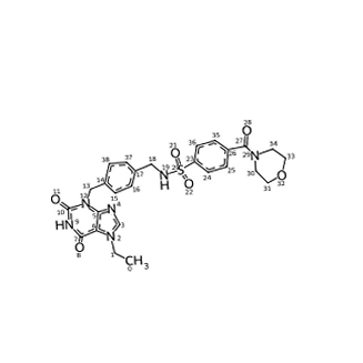 CCn1cnc2c1c(=O)[nH]c(=O)n2Cc1ccc(CNS(=O)(=O)c2ccc(C(=O)N3CCOCC3)cc2)cc1